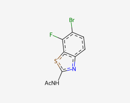 CC(=O)Nc1nc2ccc(Br)c(F)c2s1